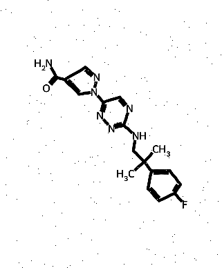 CC(C)(CNc1ncc(-n2cc(C(N)=O)cn2)nn1)c1ccc(F)cc1